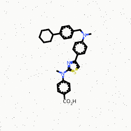 CN(Cc1ccc(C2CCCCC2)cc1)c1ccc(-c2csc(N(C)c3ccc(C(=O)O)cc3)n2)cc1